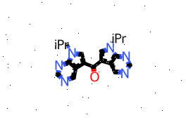 CC(C)n1cc(C(=O)c2cn(C(C)C)c3ncncc23)c2cncnc21